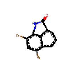 O=C1Nc2c(Br)cc(Br)c3cccc1c23